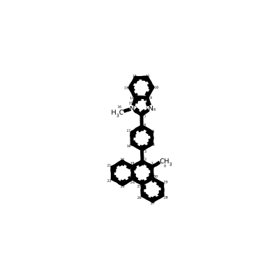 Cc1c(-c2ccc(-c3nc4ccccc4n3C)cc2)c2ccccc2c2ccccc12